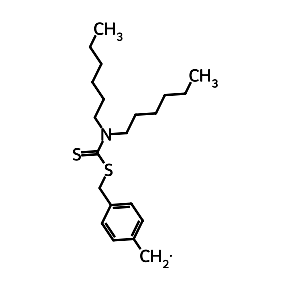 [CH2]c1ccc(CSC(=S)N(CCCCCC)CCCCCC)cc1